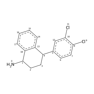 NC1CCC(c2ccc(Cl)c(Cl)c2)c2ccccc21